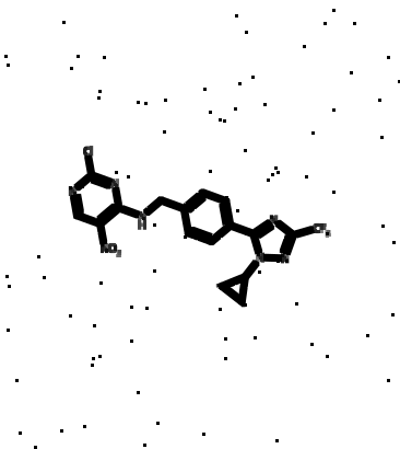 O=[N+]([O-])c1cnc(Cl)nc1NCc1ccc(-c2nc(C(F)(F)F)nn2C2CC2)cc1